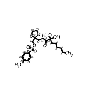 CCCCCCC(C)(O)C(=O)CCC1(COS(=O)(=O)c2ccc(C)cc2)OCCO1